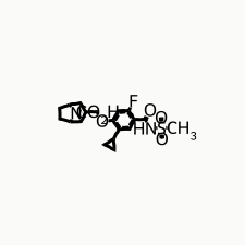 CS(=O)(=O)NC(=O)c1cc(C2CC2)c(OCC2CC3CCC(C2)N3C(=O)O)cc1F